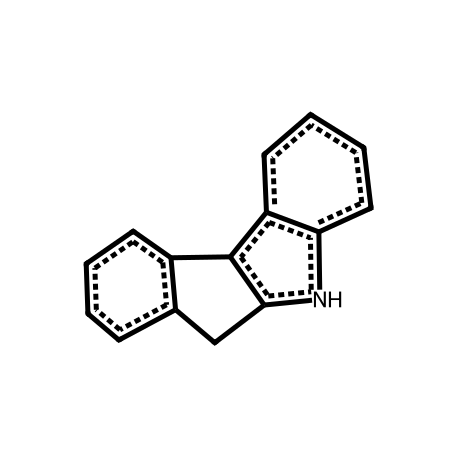 c1ccc2c(c1)Cc1[nH]c3ccccc3c1-2